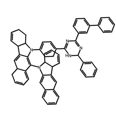 C1=CCC2C=C3C(=C(N4c5cc6ccccc6cc5C5C=CC=CC54)C2=C1)N(C1=CC=C(C2=NC(c4cccc(-c5ccccc5)c4)=NC(c4ccccc4)N2)CC1)C1CCC=CC31